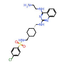 NCCNc1nc(NC[C@H]2CC[C@H](CNS(=O)(=O)c3ccc(Cl)cc3)CC2)nc2ccccc12